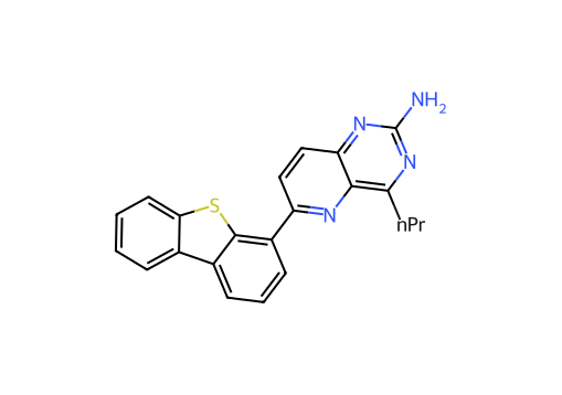 CCCc1nc(N)nc2ccc(-c3cccc4c3sc3ccccc34)nc12